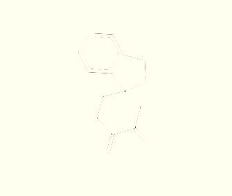 C=C1CCC2(CC1=O)OCc1ccccc12